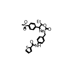 CCC1OC(=O)N(Cc2ccc(NC(=O)c3cccs3)cc2)N=C1c1ccc(S(C)(=O)=O)cc1